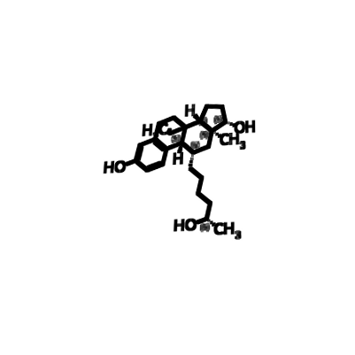 C=CC12CCc3cc(O)ccc3[C@H]1[C@@H](CCCC[C@H](C)O)C[C@]1(C)[C@@H](O)CC[C@@H]21